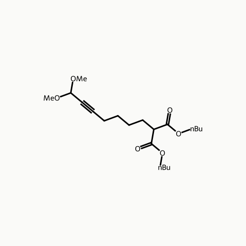 CCCCOC(=O)C(CCCCC#CC(OC)OC)C(=O)OCCCC